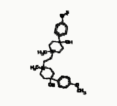 COc1ccc(C2(O)CC[N+](C)(CC[N+]3(C)CCC(O)(c4ccc(OF)cc4)CC3)CC2)cc1